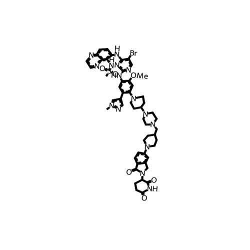 COc1cc(N2CCC(N3CCN(CC4CCN(c5ccc6c(c5)CN(C5CCC(=O)NC5=O)C6=O)CC4)CC3)CC2)c(-c2cnn(C)c2)cc1Nc1ncc(Br)c(Nc2ccc3nccnc3c2NS(C)(=O)=O)n1